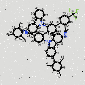 Cc1cc(C)c(-c2ccc3c(c2)c2ccccc2n3-c2ccc(C#N)cc2-c2ccc(-c3ccc(C(F)(F)F)cc3C#N)cc2-n2c3ccccc3c3cc(-c4c(C)cc(C)cc4C)ccc32)c(C)c1